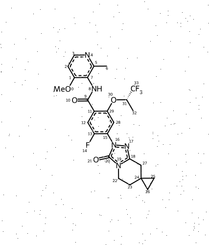 COc1ccnc(C)c1NC(=O)c1cc(F)c(-n2nc3n(c2=O)CCC2(CC2)C3)cc1O[C@@H](C)C(F)(F)F